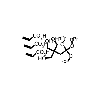 C=CC(=O)O.C=CC(=O)O.C=CC(=O)O.CCCOC(CC(CO)(CO)CO)(OCCC)OCCC